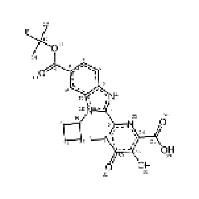 Cn1c(-c2nc3ccc(C(=O)OC(C)(C)C)cc3n2C2CCC2)nc(C(=O)O)c(O)c1=O